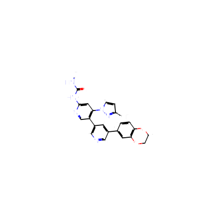 CCNC(=O)Nc1cc(-n2ccc(C(F)(F)F)n2)c(-c2cncc(-c3ccc4c(c3)OCCO4)c2)cn1